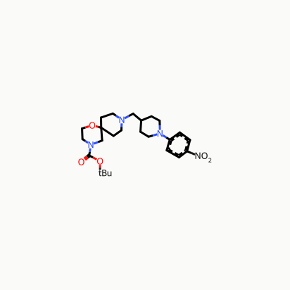 CC(C)(C)OC(=O)N1CCOC2(CCN(CC3CCN(c4ccc([N+](=O)[O-])cc4)CC3)CC2)C1